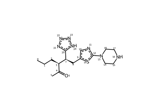 CCC[C@H](C(C)=O)[C@H](Cc1cnc(N2CCNCC2)s1)c1nnn[nH]1